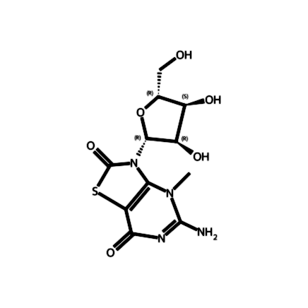 Cn1c(N)nc(=O)c2sc(=O)n([C@@H]3O[C@H](CO)[C@@H](O)[C@H]3O)c21